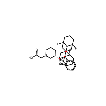 O=C(O)CN1CCC[C@H](c2nc3ccccc3n2C2C[C@H]3CCC[C@@H](C2)N3C2CCC3CCC[C@@H]2C3)C1